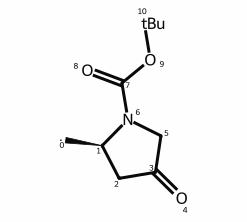 [CH2][C@@H]1CC(=O)CN1C(=O)OC(C)(C)C